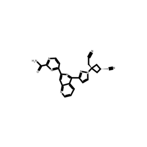 N#CC[C@]1(n2ccc(-c3nc(-c4ccnc(C(N)=O)n4)cc4ncccc34)n2)C[C@@H](C#N)C1